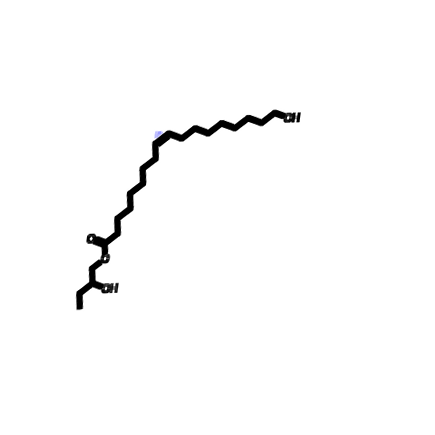 CCC(O)COC(=O)CCCCCCC/C=C\CCCCCCCCO